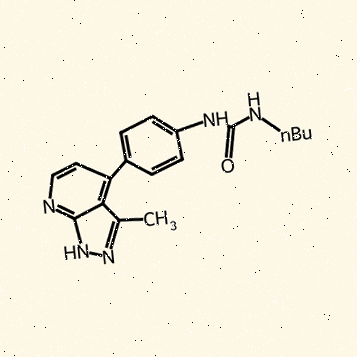 CCCCNC(=O)Nc1ccc(-c2ccnc3[nH]nc(C)c23)cc1